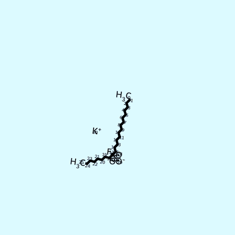 CCCCCCCCCCCCCCCCC(F)(CCCCCCCC)S(=O)(=O)[O-].[K+]